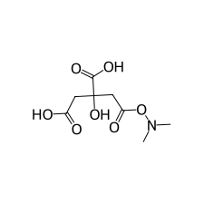 CN(C)OC(=O)CC(O)(CC(=O)O)C(=O)O